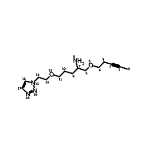 CC#CCCOCC(N)CCCOCCn1ccnn1